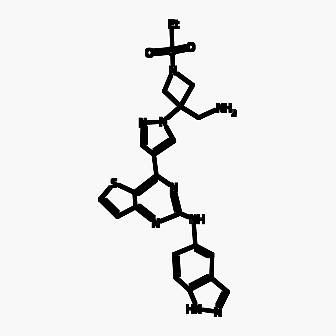 CCS(=O)(=O)N1CC(CN)(n2cc(-c3nc(Nc4ccc5[nH]ncc5c4)nc4ccsc34)cn2)C1